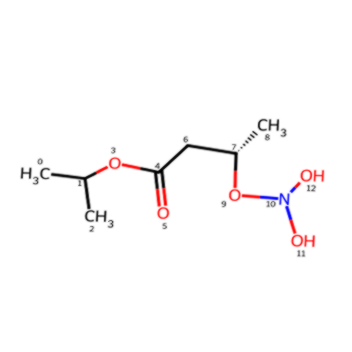 CC(C)OC(=O)C[C@H](C)ON(O)O